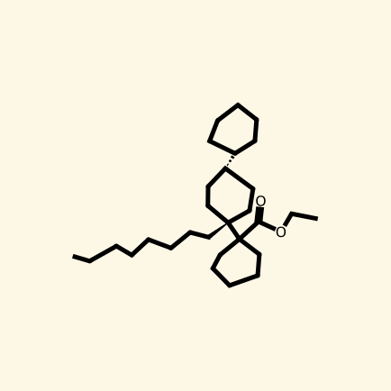 CCCCCCCC[C@]1(C2(C(=O)OCC)CCCCC2)CC[C@@H](C2CCCCC2)CC1